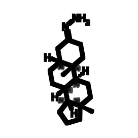 C[C@@]12CCC[C@@H]1[C@@H]1CC[C@@H]3CC(=NN)CC[C@]3(C)[C@H]1CC2